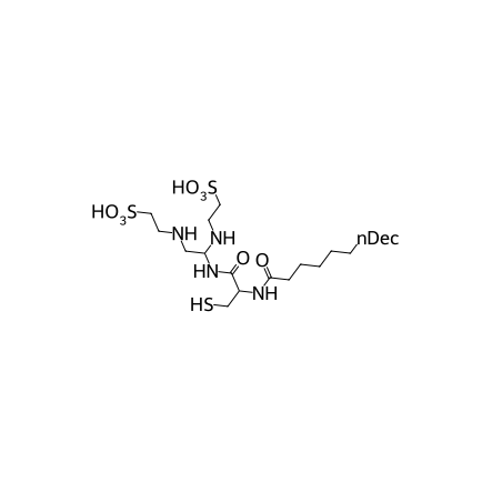 CCCCCCCCCCCCCCCC(=O)NC(CS)C(=O)NC(CNCCS(=O)(=O)O)NCCS(=O)(=O)O